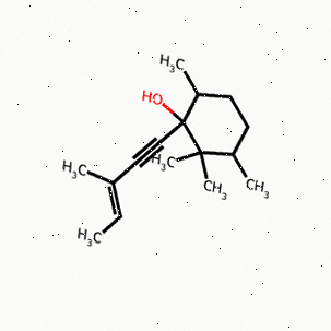 CC=C(C)C#CC1(O)C(C)CCC(C)C1(C)C